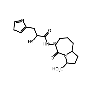 O=C(N[C@H]1CCSC2CCC(C(=O)O)N2C1=O)C(S)Cc1cscn1